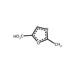 Cc1ncc(C(=O)O)o1